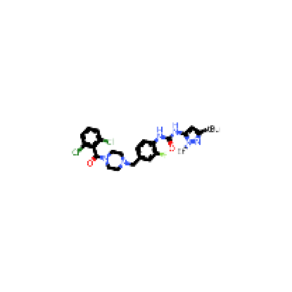 CCn1nc(C(C)(C)C)cc1NC(=O)Nc1ccc(CN2CCN(C(=O)c3c(Cl)cccc3Cl)CC2)cc1F